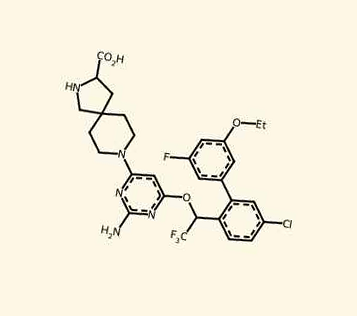 CCOc1cc(F)cc(-c2cc(Cl)ccc2C(Oc2cc(N3CCC4(CC3)CNC(C(=O)O)C4)nc(N)n2)C(F)(F)F)c1